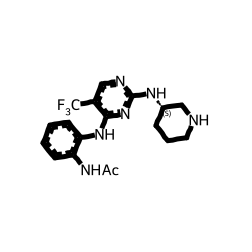 CC(=O)Nc1ccccc1Nc1nc(N[C@H]2CCCNC2)ncc1C(F)(F)F